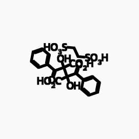 O=C(O)C(O)(C(=O)c1ccccc1)C(O)(C(=O)O)C(=O)c1ccccc1.O=S(=O)(O)CCS(=O)(=O)O